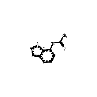 CC(=O)Nc1cccc2ccsc12